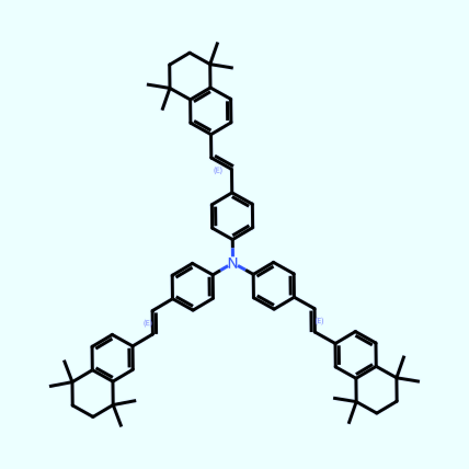 CC1(C)CCC(C)(C)c2cc(/C=C/c3ccc(N(c4ccc(/C=C/c5ccc6c(c5)C(C)(C)CCC6(C)C)cc4)c4ccc(/C=C/c5ccc6c(c5)C(C)(C)CCC6(C)C)cc4)cc3)ccc21